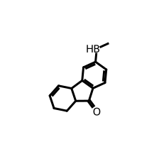 CBc1ccc2c(c1)C1C=CCCC1C2=O